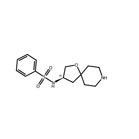 O=S(=O)(N[C@H]1COC2(CCNCC2)C1)c1ccccc1